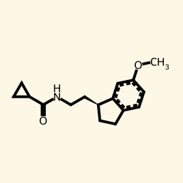 COc1ccc2c(c1)[C@H](CCNC(=O)C1CC1)CC2